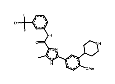 CCC(F)(F)c1cccc(NC(=O)c2nc(-c3ccc(OC)c(C4CCNCC4)c3)[nH]c2C)c1